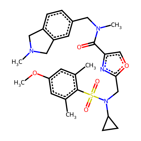 COc1cc(C)c(S(=O)(=O)N(Cc2nc(C(=O)N(C)Cc3ccc4c(c3)CN(C)C4)co2)C2CC2)c(C)c1